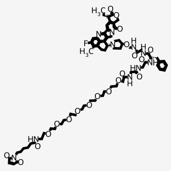 CC[C@H]1C(=O)OCc2c1cc1n(c2=O)Cc2c-1nc1cc(F)c(C)c3c1c2[C@@H](N1CCC(OCNC(=O)CNC(=O)[C@H](Cc2ccccc2)NC(=O)CNC(=O)CNC(=O)COCCOCCOCCOCCOCCOCCOCCOCCNC(=O)CCCCCN2C(=O)C=CC2=O)CC1)CC3